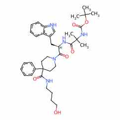 CC(C)(C)OC(=O)NC(C)(C)C(=O)N[C@H](Cc1c[nH]c2ccccc12)C(=O)N1CCC(C(=O)NCCCCO)(c2ccccc2)CC1